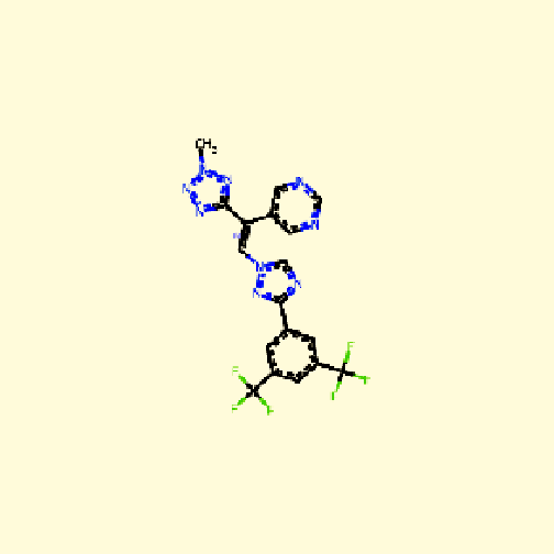 Cn1nnc(/C(=C/n2cnc(-c3cc(C(F)(F)F)cc(C(F)(F)F)c3)n2)c2cncnc2)n1